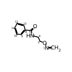 C=NOCCNC(=O)c1ccccc1